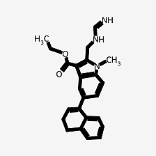 CCOC(=O)c1c(CNC=N)n(C)c2ccc(C3=CCCc4ccccc43)cc12